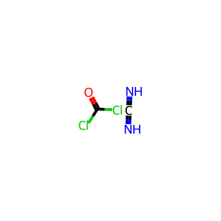 N=C=N.O=C(Cl)Cl